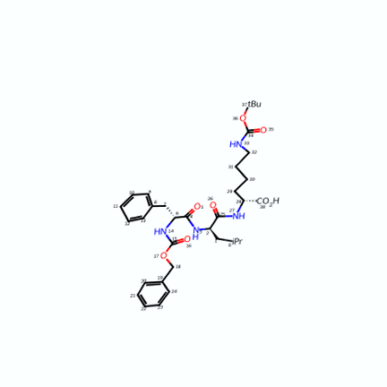 CC(C)C[C@@H](NC(=O)[C@@H](Cc1ccccc1)NC(=O)OCc1ccccc1)C(=O)N[C@H](CCCCNC(=O)OC(C)(C)C)C(=O)O